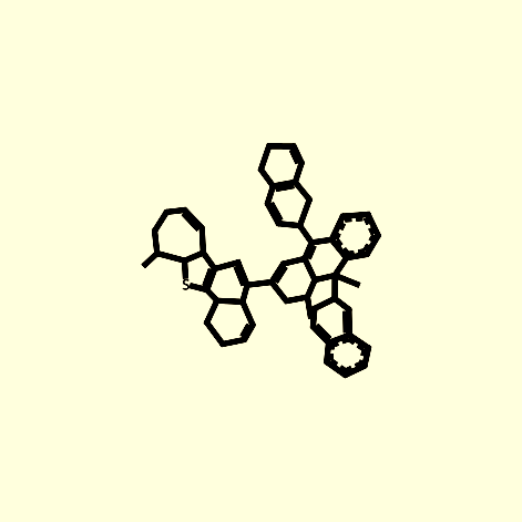 CC1CCC=CC2C3=C(SC12)C1CCC=CC1C(C1=CC2=C(C4C=CC5=C(C=CCC5)C4)c4ccccc4C(C)(C4C=c5ccccc5=CC4)C2C(C)C1)=C3